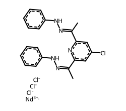 CC(=NNc1ccccc1)c1cc(Cl)cc(C(C)=NNc2ccccc2)n1.[Cl-].[Cl-].[Cl-].[Nd+3]